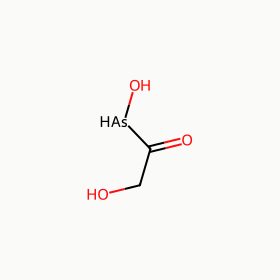 O=C(CO)[AsH]O